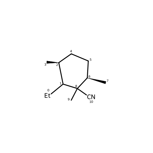 CCC1[C@@H](C)CC[C@@H](C)C1(C)C#N